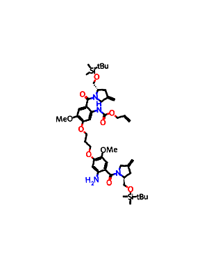 C=CCOC(=O)Nc1cc(OCCCOc2cc(N)c(C(=O)N3CC(=C)C[C@H]3CO[Si](C)(C)C(C)(C)C)cc2OC)c(OC)cc1C(=O)N1CC(=C)C[C@H]1CO[Si](C)(C)C(C)(C)C